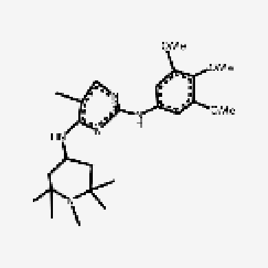 COc1cc(Nc2ncc(C)c(NC3CC(C)(C)N(C)C(C)(C)C3)n2)cc(OC)c1OC